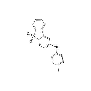 Cc1ccc(Nc2ccc3c(c2)-c2ccccc2S3(=O)=O)nn1